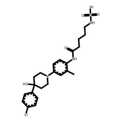 Cc1cc(N2CCC(O)(c3ccc(Cl)cc3)CC2)ccc1NC(=O)CCCCNS(=O)(=O)C(C)C